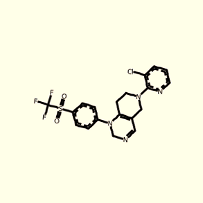 O=S(=O)(c1ccc(N2CN=CC3=C2CCN(c2ncccc2Cl)C3)cc1)C(F)(F)F